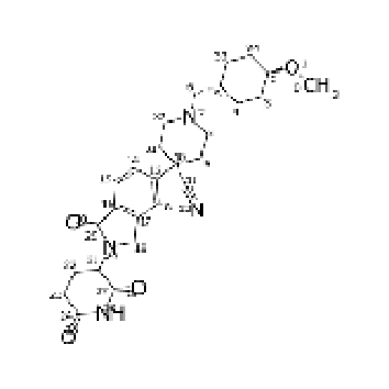 CO[C@H]1CC[C@H](CN2CCC(C#N)(c3ccc4c(c3)CN(C3CCC(=O)NC3=O)C4=O)CC2)CC1